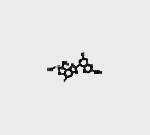 COc1cnc2c(-c3nc4cc(F)c5c(c4s3)[C@H](C)[C@@H](CO)O5)cc(Cl)cc2n1